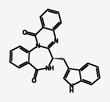 O=C1N[C@@H](Cc2c[nH]c3ccccc23)c2nc3ccccc3c(=O)n2-c2ccccc21